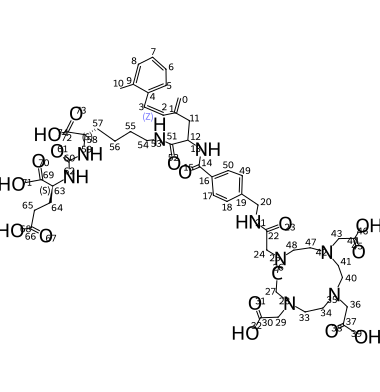 C=C(/C=C\c1ccccc1C)CC(NC(=O)c1ccc(CNC(=O)CN2CCN(CC(=O)O)CCN(CC(=O)O)CCN(CC(=O)O)CC2)cc1)C(=O)NCCCC[C@H](NC(=O)N[C@@H](CCC(=O)O)C(=O)O)C(=O)O